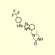 CC1CNC(=O)CN1Cc1cccc2nc(Nc3ccc(C(F)(F)F)cc3)nn12